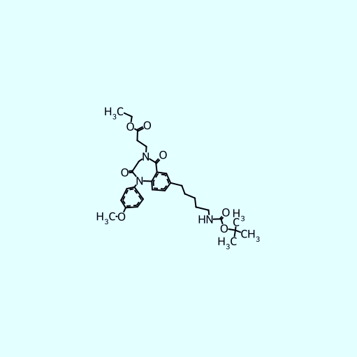 CCOC(=O)CCN1CC(=O)N(c2ccc(OC)cc2)c2ccc(CCCCCNC(=O)OC(C)(C)C)cc2C1=O